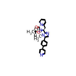 Cn1c(-c2ccc(-c3ccncc3)cc2)cnc1[C@H](Cc1ccccn1)N(C=O)OC(C)(C)C